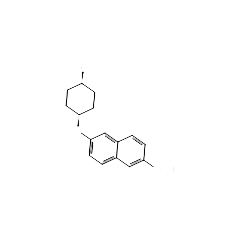 CCOC(=O)[C@H]1CC[C@@H](Oc2ccc3cc(C(=O)O)ccc3c2)CC1